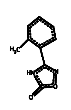 Cc1ccccc1-c1noc(=O)[nH]1